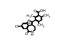 Cc1cc(C)c(-c2[nH]c3cc(Cl)cc4c3c2CCNC4=O)c(C)c1C(=O)O